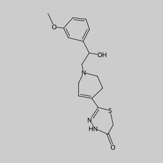 COc1cccc(C(O)CN2CC=C(C3=NNC(=O)CS3)CC2)c1